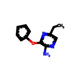 CCc1cnc(N)c(Oc2ccccc2)n1